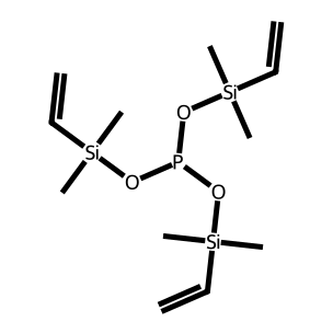 C=C[Si](C)(C)OP(O[Si](C)(C)C=C)O[Si](C)(C)C=C